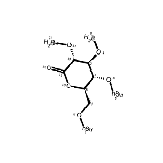 BO[C@H]1[C@H](OCCCC)[C@@H](COCCCC)OC(=O)[C@@H]1OB